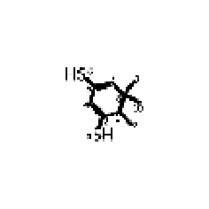 CC1C(S)=CC(S)=CC1(C)C